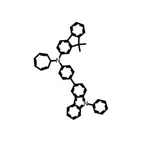 CC1(C)c2ccccc2-c2ccc(N(c3ccc(-c4ccc5c(c4)c4ccccc4n5-c4ccccc4)cc3)C3C=CC=CC=C3)cc21